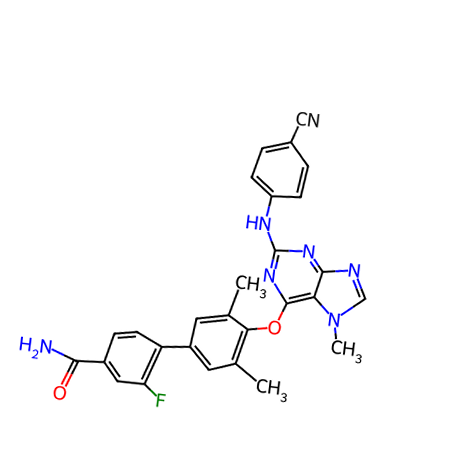 Cc1cc(-c2ccc(C(N)=O)cc2F)cc(C)c1Oc1nc(Nc2ccc(C#N)cc2)nc2ncn(C)c12